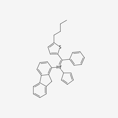 CCCCc1ccc([C](c2ccccc2)=[Hf]([c]2cccc3c2Cc2ccccc2-3)[CH]2C=CC=C2)s1